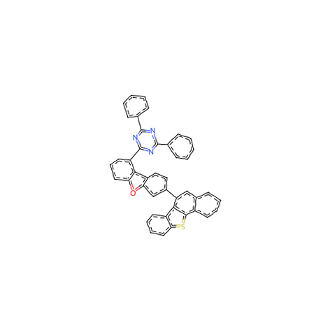 c1ccc(-c2nc(-c3ccccc3)nc(-c3cccc4oc5cc(-c6cc7ccccc7c7sc8ccccc8c67)ccc5c34)n2)cc1